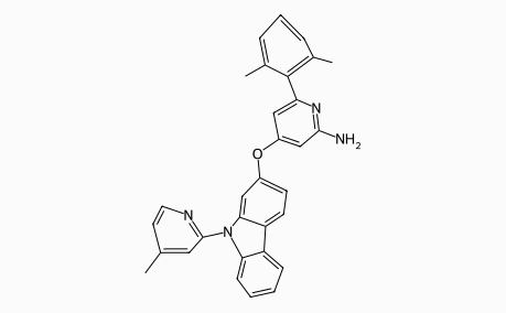 Cc1ccnc(-n2c3ccccc3c3ccc(Oc4cc(N)nc(-c5c(C)cccc5C)c4)cc32)c1